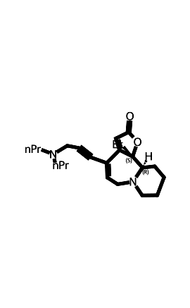 CCCN(CC#CC1=CCN2CCCC[C@@H]2[C@@]2(CC)OC(=O)C=C12)CCC